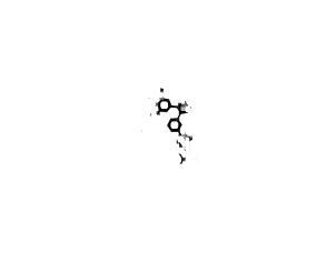 COc1cc(-c2oncc2-c2cccc(N(OC)C(=O)NCC(C)O)c2)cc(OC)c1OC.Cl